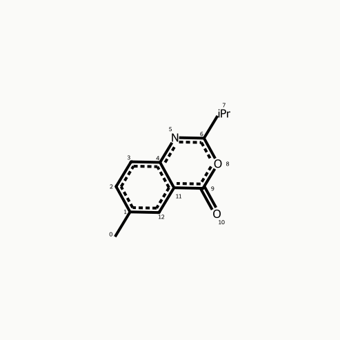 Cc1ccc2nc(C(C)C)oc(=O)c2c1